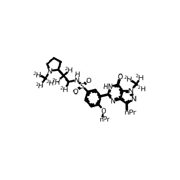 [2H]C(NS(=O)(=O)c1ccc(OCCC)c(-c2nc3c(CCC)nn(C([2H])([2H])[2H])c3c(=O)[nH]2)c1)C([2H])([2H])C1CCCN1C([2H])([2H])[2H]